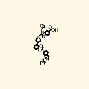 O=C(O)c1ccc2nc(CN3CCC(c4cccc5c4OC[C@@H](c4ccc6cnn(CC(F)F)c6c4)O5)CC3)n(C[C@@H]3CCO3)c2c1